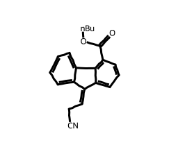 CCCCOC(=O)c1cccc2c1-c1ccccc1C2=CCC#N